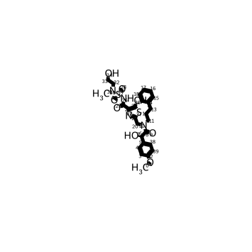 COc1ccc([C@@H](O)C(=O)N(CCCc2ccccc2)Cc2nc(C(=O)NS(=O)(=O)N(C)CCO)c(C)s2)cc1